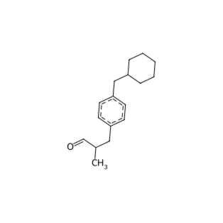 CC(C=O)Cc1ccc(CC2CCCCC2)cc1